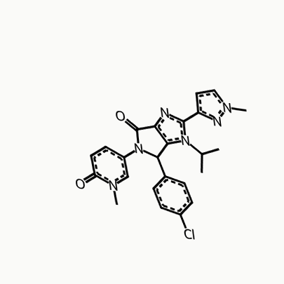 CC(C)n1c(-c2ccn(C)n2)nc2c1C(c1ccc(Cl)cc1)N(c1ccc(=O)n(C)c1)C2=O